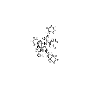 C=C(C)C(C(=O)OCc1ccccc1)N1C(=O)C(NC(C)=O)(Oc2ccccc2)C1SSc1nc2ccccc2s1